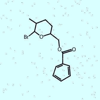 CC1CCC(COC(=O)c2ccccc2)OC1Br